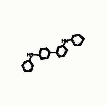 c1ccc(Nc2ccc(-c3cccc(Nc4ccccc4)c3)cc2)cc1